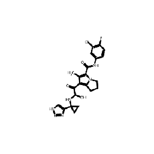 Cc1c(C(=O)C(O)NC2(c3c[nH]nn3)CC2)c2n(c1C(=O)Nc1ccc(F)c(Cl)c1)CCC2